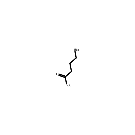 CCCCC(=O)CCCC(C)CC